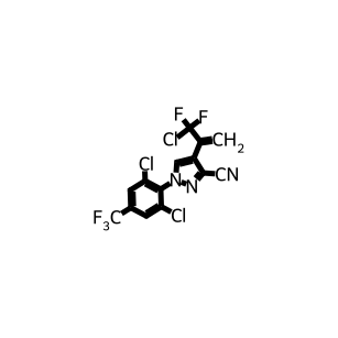 C=C(c1cn(-c2c(Cl)cc(C(F)(F)F)cc2Cl)nc1C#N)C(F)(F)Cl